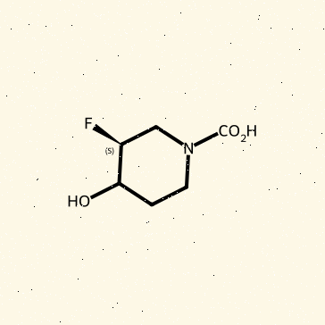 O=C(O)N1CCC(O)[C@@H](F)C1